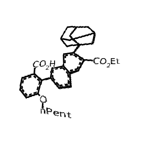 CCCCCOc1cccc(C(=O)O)c1-c1ccc2cc(C(=O)OCC)c(C34CC5CC(CC(C5)C3)C4)cc2c1